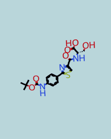 CC(C)(C)OC(=O)Nc1ccc(-c2nc(C(=O)N[C@@H](CO)C(=O)O)cs2)cc1